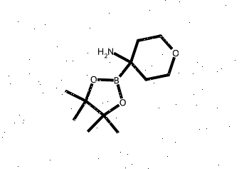 CC1(C)OB(C2(N)CCOCC2)OC1(C)C